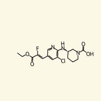 CCOC(=O)C(F)=Cc1cnc(N[C@@H]2CCCN(C(=O)O)C2)c(Cl)c1